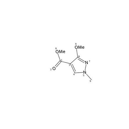 COC(=O)c1cn(C)nc1OC